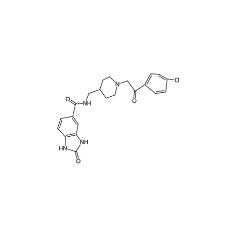 O=C(CN1CCC(CNC(=O)c2ccc3[nH]c(=O)[nH]c3c2)CC1)c1ccc(Cl)cc1